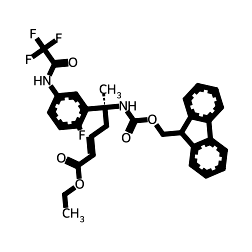 CCOC(=O)/C=C/C[C@](C)(NC(=O)OCC1c2ccccc2-c2ccccc21)c1cc(NC(=O)C(F)(F)F)ccc1F